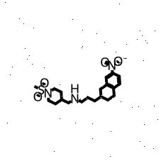 CS(=O)(=O)N1CCC(CNCCCC2CCc3ccc([N+](=O)[O-])cc3C2)CC1